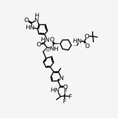 Cc1nc(C(=O)NC(C)C(F)(F)F)ccc1-c1ccc(C[C@H](NC(=O)[C@H]2CC[C@H](CNC(=O)OC(C)(C)C)CC2)C(=O)Nc2ccc3[nH]c(=O)[nH]c3c2)cc1